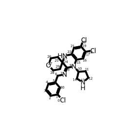 Clc1cccc(C/N=C2/N(C3CCNC3)c3cc(Cl)c(Cl)cc3NC23CCOCC3)c1